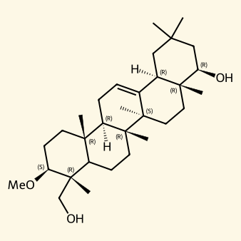 CO[C@H]1CC[C@@]2(C)C(CC[C@]3(C)[C@@H]2CC=C2[C@H]4CC(C)(C)C[C@@H](O)[C@]4(C)CC[C@]23C)[C@]1(C)CO